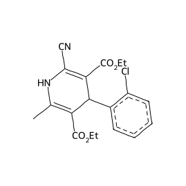 CCOC(=O)C1=C(C)NC(C#N)=C(C(=O)OCC)C1c1ccccc1Cl